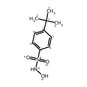 CC(C)(C)c1ccc(S(=O)(=O)NO)cc1